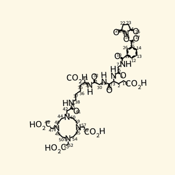 O=C(O)CCC(NC(=O)CNC(=O)c1cccc(C(=O)ON2C(=O)CCC2=O)c1)C(=O)NCC(=O)NC(CCCCNC(=O)CN1CCN(CC(=O)O)CCN(CC(=O)O)CCN(CC(=O)O)CC1)C(=O)O